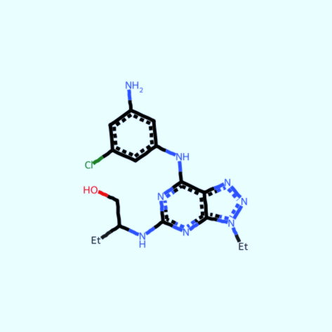 CCC(CO)Nc1nc(Nc2cc(N)cc(Cl)c2)c2nnn(CC)c2n1